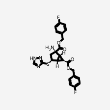 N[C@@]1(C(=O)OCc2ccc(F)cc2)C[C@H](Sc2nc[nH]n2)[C@H]2[C@H](C(=O)OCc3ccc(F)cc3)[C@H]21